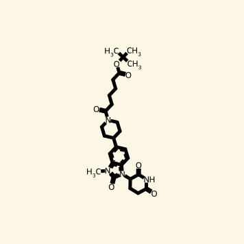 Cn1c(=O)n(C2CCC(=O)NC2=O)c2ccc(C3CCN(C(=O)CCCCC(=O)OC(C)(C)C)CC3)cc21